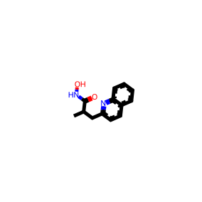 CC(Cc1ccc2ccccc2n1)C(=O)NO